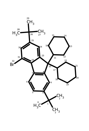 CC(C)(C)c1ccc2c(c1)C(C1CCCCC1)(C1CCCCC1)c1cc(C(C)(C)C)cc(Br)c1-2